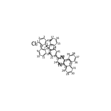 Clc1cccc([Si](c2ccccc2)(c2ccccc2)c2ccc(-c3cnc(-c4ccccc4)c(-c4ccccc4)n3)cc2)c1